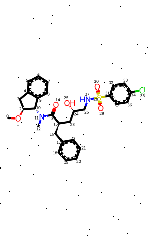 CO[C@H]1Cc2ccccc2[C@@H]1N(C)C(=O)[C@H](Cc1ccccc1)C[C@H](O)CNS(=O)(=O)c1ccc(Cl)cc1